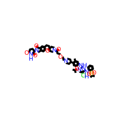 Cc1cc(Nc2ncc(Cl)c(Nc3ccccc3S(=O)(=O)C(C)C)n2)c(OC(C)C)cc1C1CCN(CCOCCC(=O)N2CCC3(CCc4cc5c(cc4O3)CN(C3CCC(=O)NC3=O)C5=O)CC2)CC1